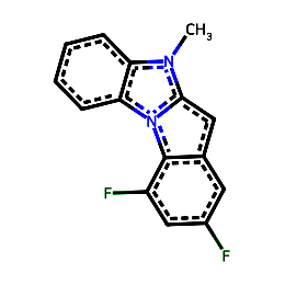 Cn1c2ccccc2n2c3c(F)cc(F)cc3cc12